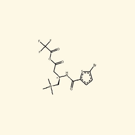 C[N+](C)(C)C[C@@H](CC(=O)OC(=O)C(F)(F)F)NC(=O)c1ccc(Br)s1